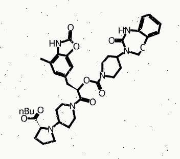 CCCCOC(=O)[C@H]1CCCN1C1CCN(C(=O)[C@@H](Cc2cc(C)c3[nH]c(=O)oc3c2)OC(=O)N2CCC(N3CCc4ccccc4NC3=O)CC2)CC1